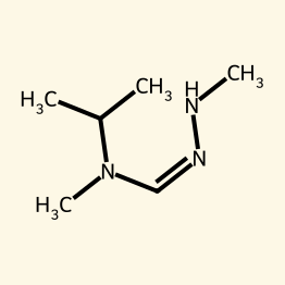 CN/N=C\N(C)C(C)C